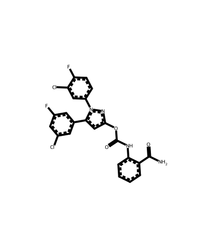 NC(=O)c1ccccc1NC(=O)Oc1cc(-c2cc(F)cc(Cl)c2)n(-c2ccc(F)c(Cl)c2)n1